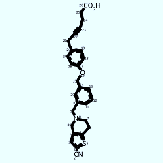 N#Cc1cc2c(s1)CCN(Cc1cccc(COc3ccc(CC#CCCC(=O)O)cc3)c1)C2